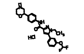 CCn1nc(C(=O)Nc2ccc(C3CNCCO3)cc2)cc1-c1cccc(OC(F)F)c1.Cl